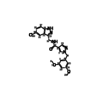 COc1cc(Cn2cc(C(=O)NCc3n[nH]c4ccc(Cl)cc34)cn2)cc(OC)c1